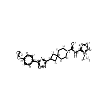 Cn1nnnc1NC(=O)N1CCC2(CC1)CC(c1noc(-c3ccc(OC(F)(F)F)cc3)n1)C2